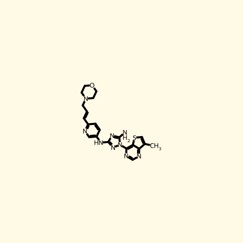 Cc1csc2c(-n3nc(Nc4ccc(C=CCN5CCOCC5)nc4)nc3N)ncnc12